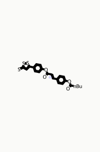 CCCCC(=O)Oc1ccc(/C=C/C(=O)Oc2ccc(-c3cc(=S)ss3)cc2)cc1